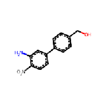 Nc1cc(-c2ccc(CO)cc2)ccc1[N+](=O)[O-]